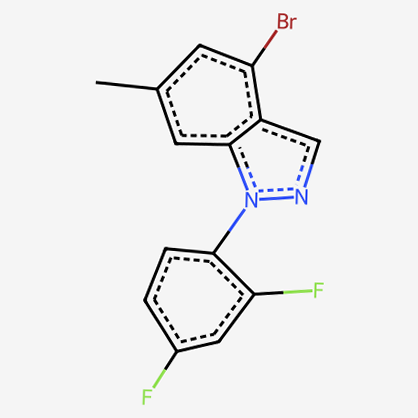 Cc1cc(Br)c2cnn(-c3ccc(F)cc3F)c2c1